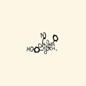 CN1CC(=O)N2C(CN(Cc3ccccn3)C(=O)[C@@H]2Cc2ccc(O)cc2)N1C(=O)NCCc1ccccc1